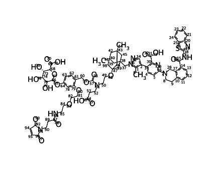 Cc1c(-c2ccc(N3CCc4cccc(C(=O)Nc5nc6ccccc6s5)c4C3)nc2C(=O)O)cnn1CC12CC3(C)CC(C)(C1)CC(OCCN(CCC(=O)O)C(=O)OCc1ccc(O[C@@H]4O[C@H](C(=O)O)[C@@H](O)[C@H](O)[C@H]4O)cc1OCCOCCNC(=O)CCN1C(=O)C=CC1=O)(C3)C2